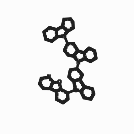 c1cnc2oc3c(-n4c5ccccc5c5cc(-n6c7ccccc7c7cc(-n8c9ccccc9c9ccccc98)ccc76)ccc54)cccc3c2c1